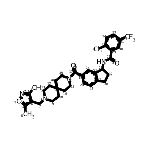 Cc1noc(C)c1CN1CCC2(CC1)CCN(C(=O)c1ccc3c(c1)C(NC(=O)c1cc(C(F)(F)F)ccc1Cl)CC3)CC2